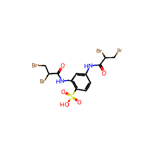 O=C(Nc1ccc(S(=O)(=O)O)c(NC(=O)C(Br)CBr)c1)C(Br)CBr